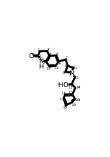 O=C1CCc2cc(CC3CN(CC(O)Cc4ccccc4)C3)ccc2N1